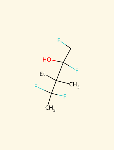 CCC(C)(C(C)(F)F)C(O)(F)CF